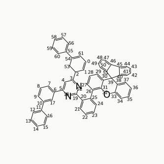 C1=CC(c2cc(-c3cccc(-c4ccccc4)c3)nc(-c3ccccc3-c3cccc4c3Oc3ccccc3C43c4ccccc4-c4ccccc43)n2)CC(c2ccccc2)=C1